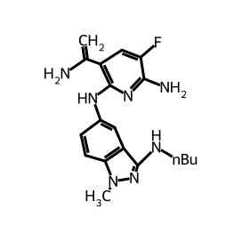 C=C(N)c1cc(F)c(N)nc1Nc1ccc2c(c1)c(NCCCC)nn2C